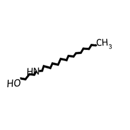 CCCCCCCCCCCCCCCCNCCCCO